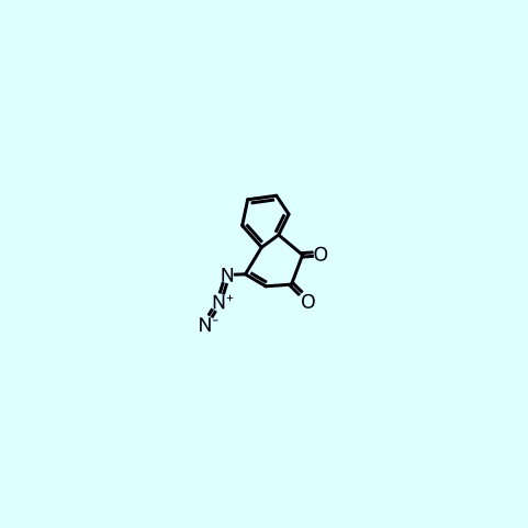 [N-]=[N+]=NC1=CC(=O)C(=O)c2ccccc21